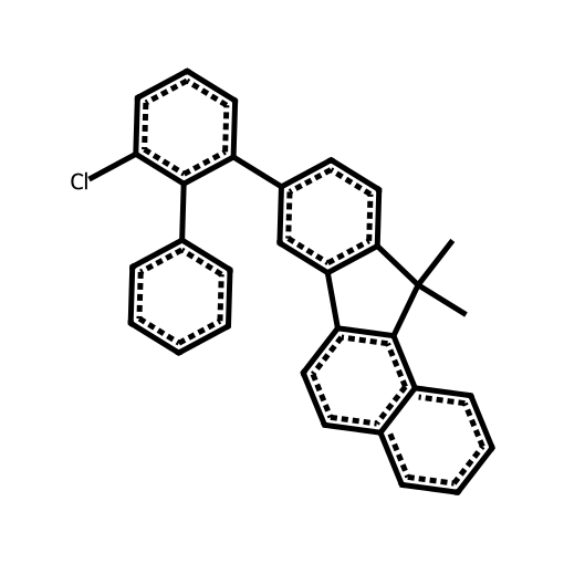 CC1(C)c2ccc(-c3cccc(Cl)c3-c3ccccc3)cc2-c2ccc3ccccc3c21